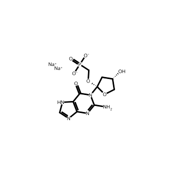 Nc1nc2nc[nH]c2c(=O)n1[C@@]1(OCP(=O)([O-])[O-])C[C@H](O)CO1.[Na+].[Na+]